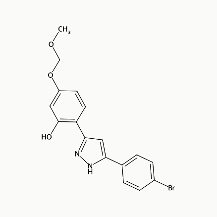 COCOc1ccc(-c2cc(-c3ccc(Br)cc3)[nH]n2)c(O)c1